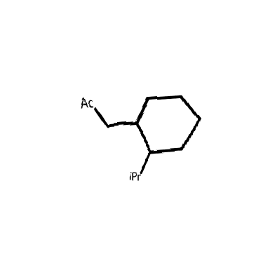 CC(=O)CC1CCCCC1C(C)C